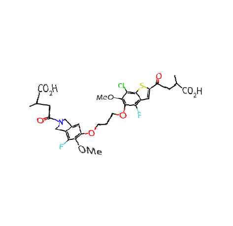 COc1c(OCCCOc2c(OC)c(Cl)c3sc(C(=O)CC(C)C(=O)O)cc3c2F)cc2c(c1F)CN(C(=O)CC(C)C(=O)O)C2